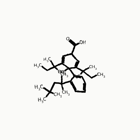 CCC(C)(C)C1=CC(C(=O)O)C=C(C(C)(C)CC)C1(O)c1ccccc1C(C)(C)CC(C)(C)C